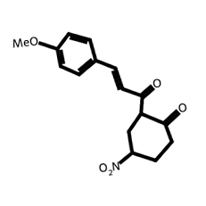 COc1ccc(C=CC(=O)C2CC([N+](=O)[O-])CCC2=O)cc1